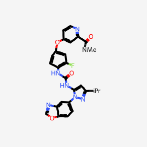 CNC(=O)c1cc(Oc2ccc(NC(=O)Nc3cc(C(C)C)nn3-c3ccc4ocnc4c3)c(F)c2)ccn1